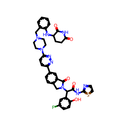 O=C1CCC(Nc2ccccc2CN2CCN(c3ccc(-c4ccc5c(c4)C(=O)N(C(C(=O)Nc4nccs4)c4cc(F)ccc4O)C5)nn3)CC2)C(=O)N1